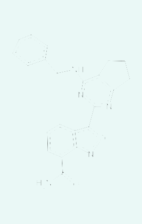 NC(=O)c1cccc2c(-c3nc4c(c(NCc5ccccc5)n3)CCC4)onc12